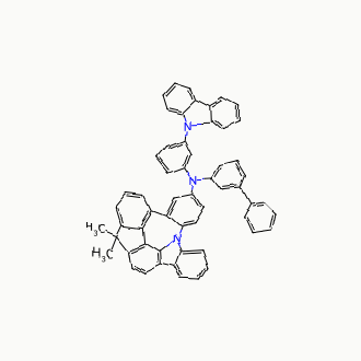 CC1(C)c2cccc3c2-c2c1ccc1c4ccccc4n(c21)-c1ccc(N(c2cccc(-c4ccccc4)c2)c2cccc(-n4c5ccccc5c5ccccc54)c2)cc1-3